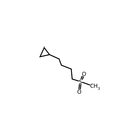 CS(=O)(=O)CCCCC1[CH]C1